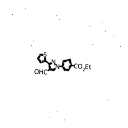 CCOC(=O)c1ccc(-n2cc(C=O)c(-c3cccs3)n2)cc1